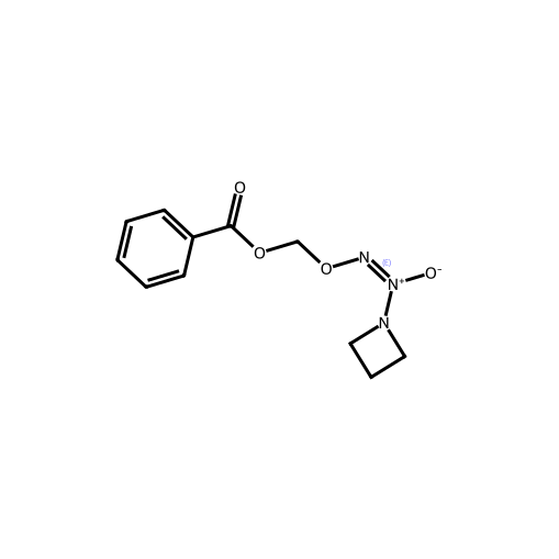 O=C(OCO/N=[N+](/[O-])N1CCC1)c1ccccc1